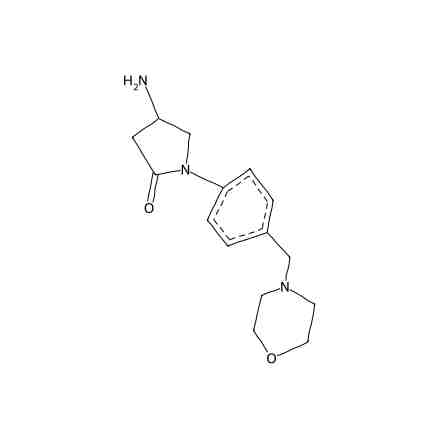 NC1CC(=O)N(c2ccc(CN3CCOCC3)cc2)C1